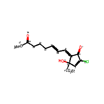 CCOC(=O)C1(O)C=C(Cl)C(=O)C1=CC=CCCCC(=O)OC